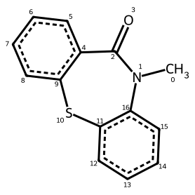 CN1C(=O)c2ccccc2Sc2ccccc21